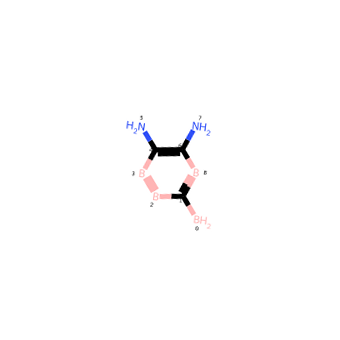 Bc1bbc(N)c(N)b1